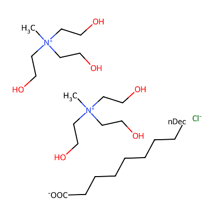 CCCCCCCCCCCCCCCCCC(=O)[O-].C[N+](CCO)(CCO)CCO.C[N+](CCO)(CCO)CCO.[Cl-]